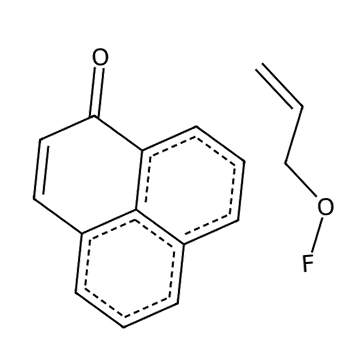 C=CCOF.O=C1C=Cc2cccc3cccc1c23